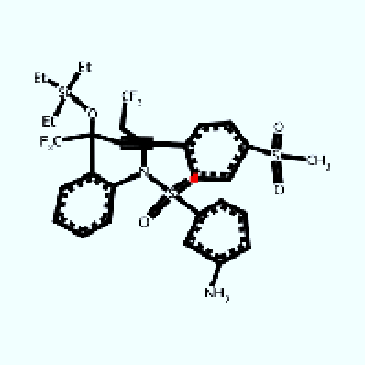 CC[Si](CC)(CC)OC(C#Cc1ccc(S(C)(=O)=O)cc1)(c1ccccc1N(CCC(F)(F)F)S(=O)(=O)c1cccc(N)c1)C(F)(F)F